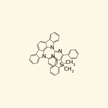 C[Si]1(C)c2ccccc2-c2nc(-n3c4ccccc4c4ccc5c6ccccc6n(-c6ccccc6)c5c43)nc(-c3ccccc3)c21